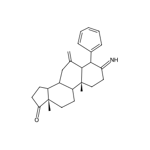 C=C1CC2C(CC[C@]3(C)C(=O)CCC23)[C@@]2(C)CCC(=N)C(c3ccccc3)C12